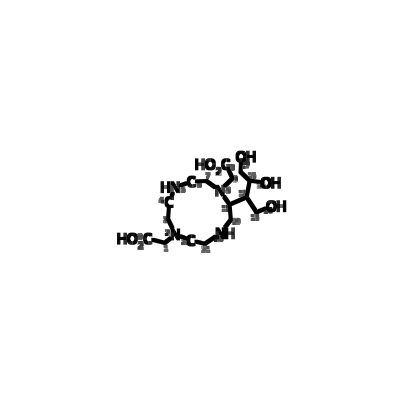 O=C(O)CN1CCNCCN(CC(=O)O)C(C(CO)C(O)CO)CNCC1